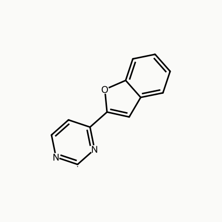 [c]1nccc(-c2cc3ccccc3o2)n1